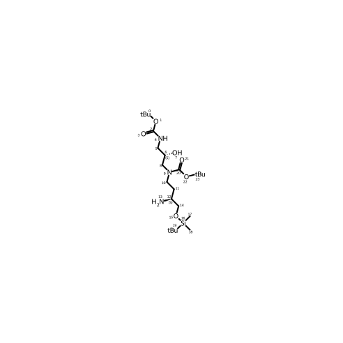 CC(C)(C)OC(=O)NC[C@H](O)CN(CC[C@H](N)CO[Si](C)(C)C(C)(C)C)C(=O)OC(C)(C)C